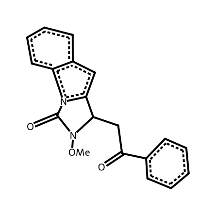 CON1C(=O)n2c(cc3ccccc32)C1CC(=O)c1ccccc1